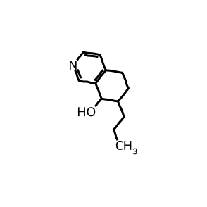 CCCC1CCc2ccncc2C1O